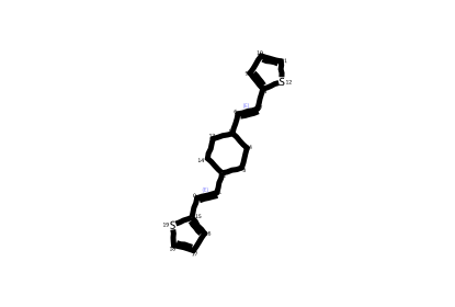 C(=C\C1CCC(/C=C/c2cccs2)CC1)/c1cccs1